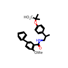 COc1ccc(-c2ccccc2)cc1C(=O)NCC(C)c1ccc(OC(C)(C)C(=O)O)cc1